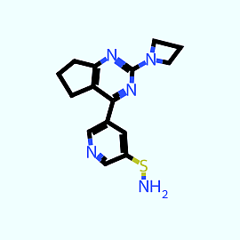 NSc1cncc(-c2nc(N3CCC3)nc3c2CCC3)c1